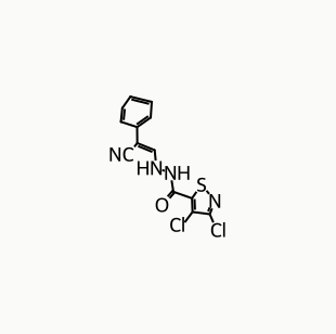 N#C/C(=C\NNC(=O)c1snc(Cl)c1Cl)c1ccccc1